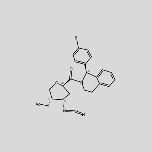 CC(=O)S[C@@H]1CO[C@@H](C(=O)N2CCc3ccccc3[C@@H]2c2ccc(F)cc2)C[C@@H]1N=[N+]=[N-]